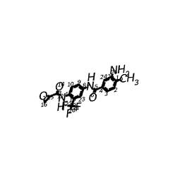 Cc1ccc(C(=O)Nc2ccc(NC(=O)C3CO3)c(C(F)(F)F)c2)cc1N